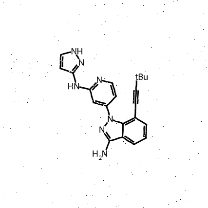 CC(C)(C)C#Cc1cccc2c(N)nn(-c3ccnc(Nc4cc[nH]n4)c3)c12